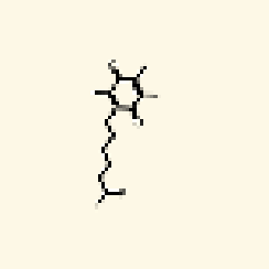 CC1=C(C)C(=O)C(CCCCCC(F)F)=C(C)C1=O